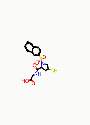 O=C(O)CNC(=O)C1CC(S)CN1S(=O)(=O)c1ccc2ccccc2c1